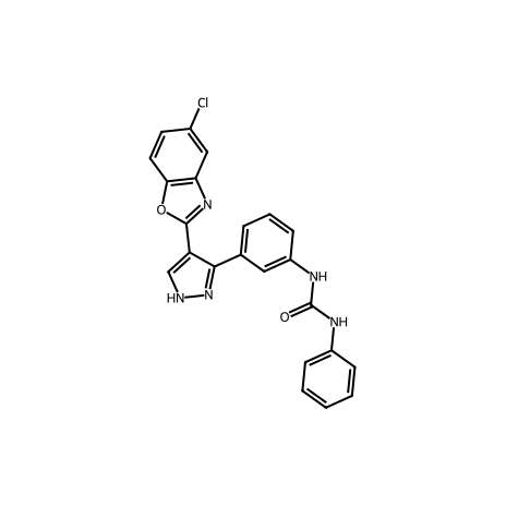 O=C(Nc1ccccc1)Nc1cccc(-c2n[nH]cc2-c2nc3cc(Cl)ccc3o2)c1